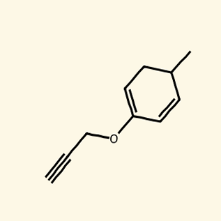 C#CCOC1=CCC(C)C=C1